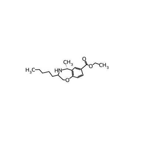 CCCCCC1COc2ccc(C(=O)OCC)cc2[C@@H](C)N1